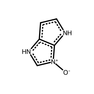 [O-][n+]1c[nH]c2cc[nH]c21